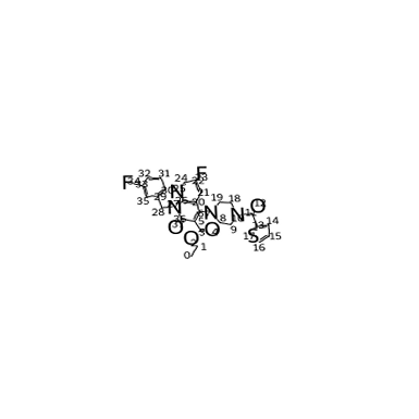 CCOC(=O)c1c(N2CCN(C(=O)c3cccs3)CC2)c2cc(F)cnc2n(Cc2cccc(F)c2)c1=O